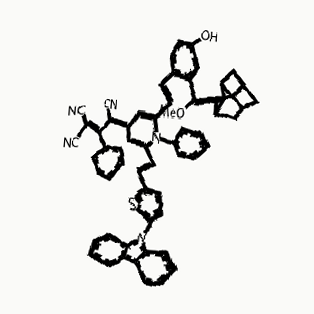 CO/C(=C1\C2CC3CC4CC1C34C2)c1cc(O)ccc1/C=C/C1=CC(=C(\C#N)C(=C(C#N)C#N)c2ccccc2)/C=C(/C=C/c2ccc(-n3c4ccccc4c4ccccc43)s2)N1c1ccccc1